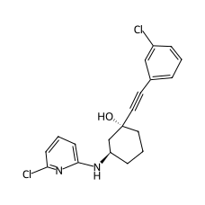 O[C@]1(C#Cc2cccc(Cl)c2)CCC[C@@H](Nc2cccc(Cl)n2)C1